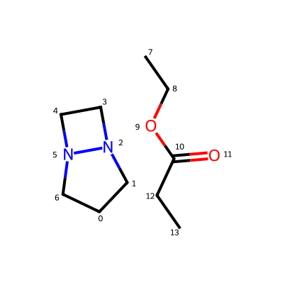 C1CN2CCN2C1.CCOC(=O)CC